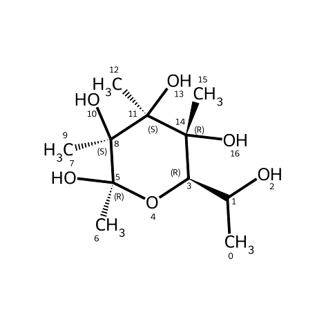 CC(O)[C@H]1O[C@@](C)(O)[C@@](C)(O)[C@@](C)(O)[C@]1(C)O